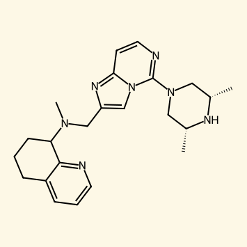 C[C@@H]1CN(c2nccc3nc(CN(C)C4CCCc5cccnc54)cn23)C[C@H](C)N1